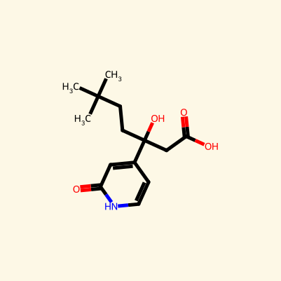 CC(C)(C)CCC(O)(CC(=O)O)c1cc[nH]c(=O)c1